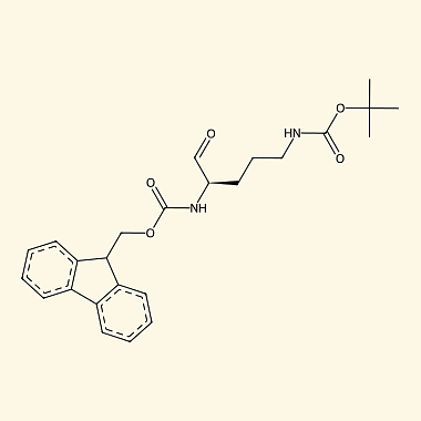 CC(C)(C)OC(=O)NCCC[C@H](C=O)NC(=O)OCC1c2ccccc2-c2ccccc21